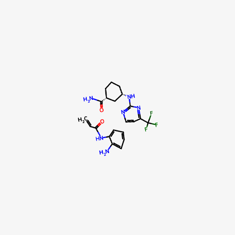 C=CC(=O)Nc1ccccc1N.NC(=O)[C@@H]1CCC[C@H](Nc2nccc(C(F)(F)F)n2)C1